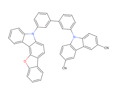 N#Cc1ccc2c(c1)c1cc(C#N)ccc1n2-c1cccc(-c2cccc(-n3c4ccccc4c4c5oc6ccccc6c5ccc43)c2)c1